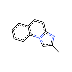 [CH2]c1cn2c(ccc3ccccc32)n1